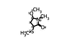 COC1CC(SC)C(=O)N1C